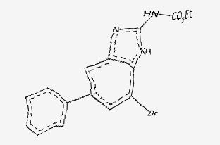 CCOC(=O)Nc1nc2cc(-c3ccccc3)cc(Br)c2[nH]1